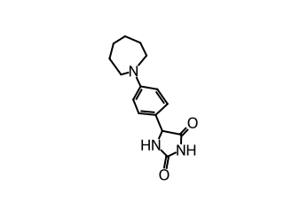 O=C1NC(=O)C(c2ccc(N3CCCCCC3)cc2)N1